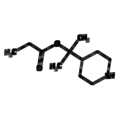 CCC(=O)OC(C)(C)C1CCNCC1